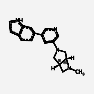 CN1C[C@@H]2CN(c3cncc(-c4ccc5cc[nH]c5c4)c3)C[C@@H]21